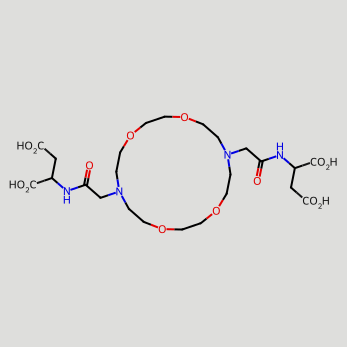 O=C(O)CC(NC(=O)CN1CCOCCOCCN(CC(=O)NC(CC(=O)O)C(=O)O)CCOCCOCC1)C(=O)O